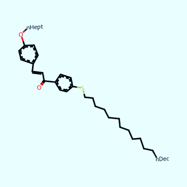 CCCCCCCCCCCCCCCCCCCCCCSc1ccc(C(=O)/C=C/c2ccc(OCCCCCCC)cc2)cc1